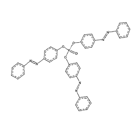 O=P(Oc1ccc(/N=N/c2ccccc2)cc1)(Oc1ccc(/N=N/c2ccccc2)cc1)Oc1ccc(/N=N/c2ccccc2)cc1